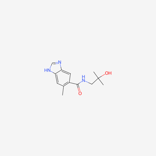 Cc1cc2[nH]cnc2cc1C(=O)NCC(C)(C)O